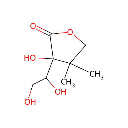 CC1(C)COC(=O)C1(O)C(O)CO